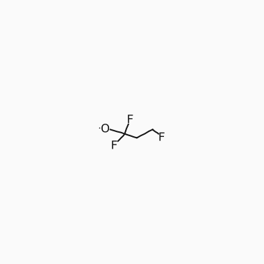 [O]C(F)(F)CCF